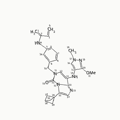 C=CC(=C)Nc1cccc(Cn2cc(Nc3cn(C)nc3OC)c3ncc(C45CC(C4)C5)n3c2=O)c1